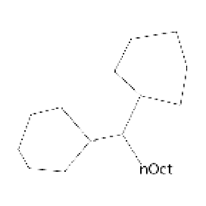 CCCCCCCCC([C]1CCCCC1)C1CCCCC1